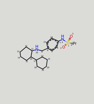 CC(C)S(=O)(=O)Nc1ccc(CNC2CCCCC2C2CCCCC2)cc1